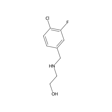 OCCNCc1ccc(Cl)c(F)c1